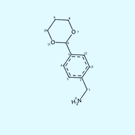 NCc1ccc(C2OCCCO2)cc1